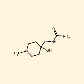 CN1CCC(O)(CNC(N)=O)CC1